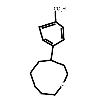 O=C(O)c1ccc(C2CCCCCCCC2)cc1